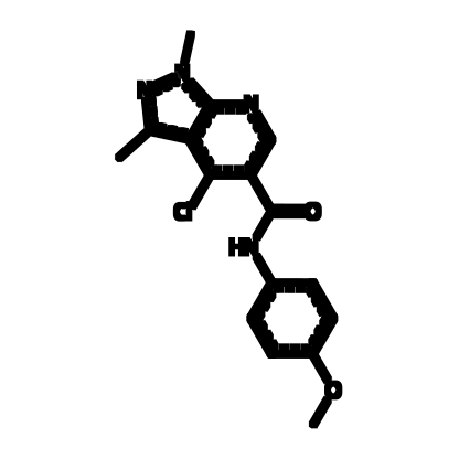 COc1ccc(NC(=O)c2cnc3c(c(C)nn3C)c2Cl)cc1